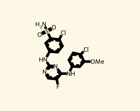 COc1cc(Nc2nc(Nc3ccc(Cl)c(S(N)(=O)=O)c3)ncc2F)ccc1Cl